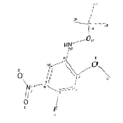 COc1cc(F)c([N+](=O)[O-])cc1NOC(C)(C)C